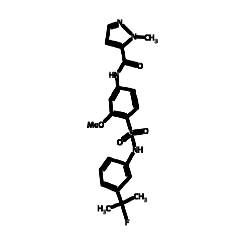 COc1cc(NC(=O)c2ccnn2C)ccc1S(=O)(=O)Nc1cccc(C(C)(C)F)c1